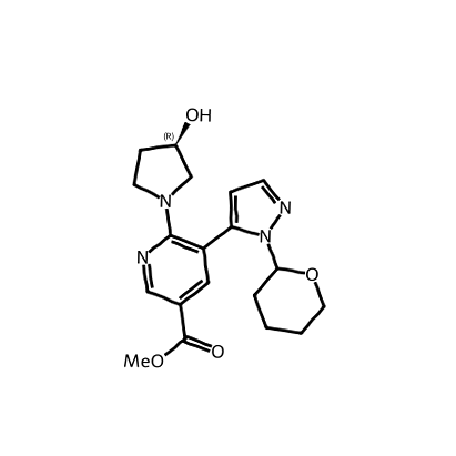 COC(=O)c1cnc(N2CC[C@@H](O)C2)c(-c2ccnn2C2CCCCO2)c1